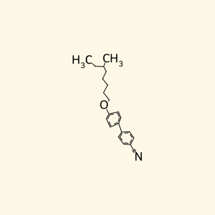 CCC(C)CCCCCOc1ccc(-c2ccc(C#N)cc2)cc1